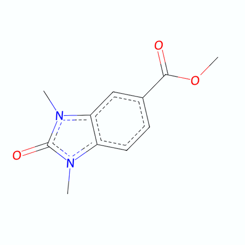 COC(=O)c1ccc2c(c1)n(C)c(=O)n2C